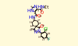 CCNC(=O)c1nc[nH]c1C(=O)N[C@H]1CC[C@@]2(CC1)C(=O)N(c1ccc(F)cc1Cl)N=C2C